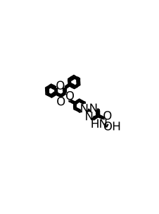 O=C(NO)c1cnc(N2CCC(COc3c(-c4ccccc4)oc4ccccc4c3=O)CC2)nc1